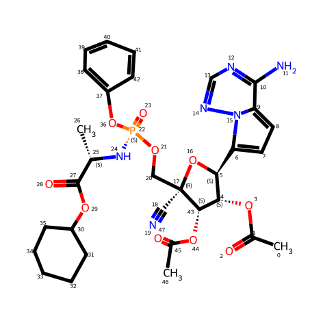 CC(=O)O[C@H]1[C@H](c2ccc3c(N)ncnn23)O[C@](C#N)(CO[P@@](=O)(N[C@@H](C)C(=O)OC2CCCCC2)Oc2ccccc2)[C@H]1OC(C)=O